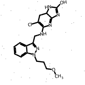 COCCCn1nc(CNC2=C(Cl)CC3NC(O)=NC3=N2)c2ccccc21